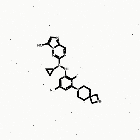 N#Cc1cc(NN(c2ncc3ncc(C#N)n3n2)C2CC2)c(Cl)c(N2CCC3(CC2)CNC3)c1